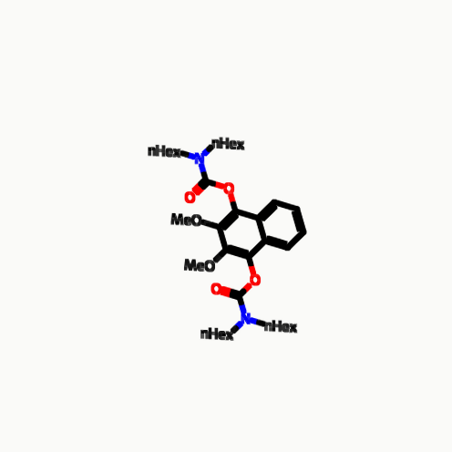 CCCCCCN(CCCCCC)C(=O)Oc1c(OC)c(OC)c(OC(=O)N(CCCCCC)CCCCCC)c2ccccc12